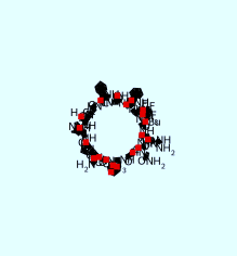 CCCC[C@H]1C(=O)N[C@@H](CCCNC(=N)N)C(=O)N[C@H](C(=O)NCC(N)=O)CSCC(=O)N[C@@H](Cc2ccccc2)C(=O)N(C)[C@@H](C)C(=O)N[C@@H](CC(N)=O)C(=O)N2CCC[C@H]2C(=O)N[C@@H](Cc2cnc[nH]2)C(=O)N[C@@H](CC(C)C)C(=O)N(C)CC(=O)N[C@@H](Cc2c[nH]c3ccccc23)CN[C@@H](CO)C(=O)N[C@@H](Cc2c[nH]c3ccccc23)C(=O)N[C@@H](Cc2c(F)c(F)c(F)c(F)c2F)C(=O)N1C